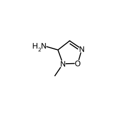 CN1ON=CC1N